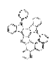 c1ccc(-n2c3ccccc3c3c4nc5c6cccnc6c6cccnc6n5c4c4c(c5ccccc5n4-c4ccccc4)c32)cc1